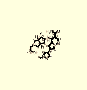 C[C@H]1[C@@H]2CN(C[C@@H](C)O)C[C@H]2C[C@H]1Nc1c(C(N)=O)cnn2cc(-c3cnn(C)c3)cc12